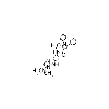 Cc1c(C(=O)NC2CCC(Nc3nccc(N(C)C)n3)CC2)cc(-c2ccccc2)n1-c1ccccc1